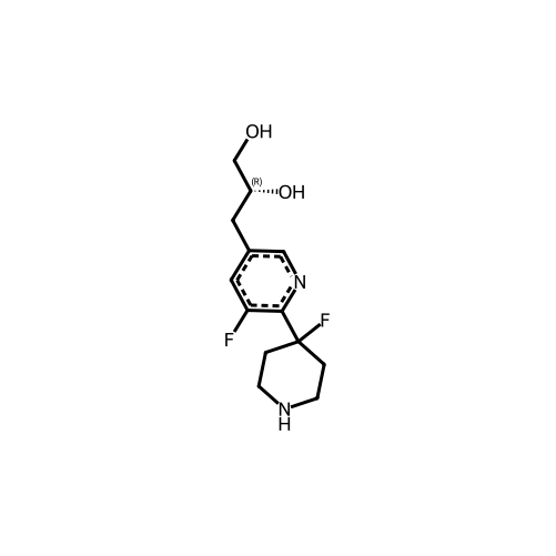 OC[C@H](O)Cc1cnc(C2(F)CCNCC2)c(F)c1